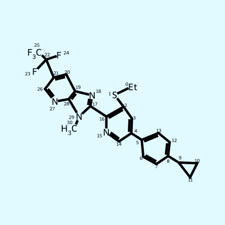 CCSc1cc(-c2ccc(C3CC3)cc2)cnc1-c1nc2cc(C(F)(F)C(F)(F)F)cnc2n1C